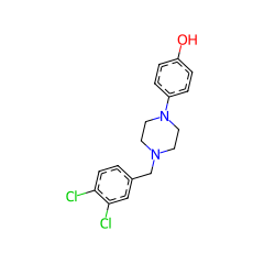 Oc1ccc(N2CCN(Cc3ccc(Cl)c(Cl)c3)CC2)cc1